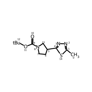 Cc1nnc(C2CCN(C(=O)OC(C)(C)C)C2)s1